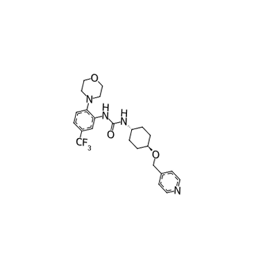 O=C(Nc1cc(C(F)(F)F)ccc1N1CCOCC1)N[C@H]1CC[C@H](OCc2ccncc2)CC1